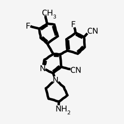 Cc1ccc(-c2cnc(N3CCC(N)CC3)c(C#N)c2-c2ccc(C#N)c(F)c2)cc1F